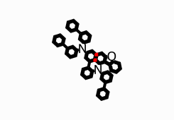 c1ccc(-c2cccc(N(c3cccc(-c4ccccc4)c3)c3cccc(-c4ccccc4N(c4cccc(-c5ccccc5)c4)c4cccc5oc6ccccc6c45)c3)c2)cc1